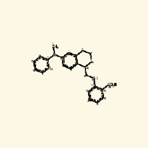 CN(c1ccc2c(c1)CCC[C@H]2CNc1cnccc1C(=O)O)c1ccccn1